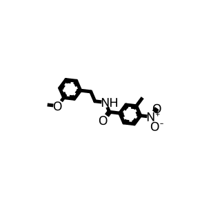 COc1cccc(CCNC(=O)c2ccc([N+](=O)[O-])c(C)c2)c1